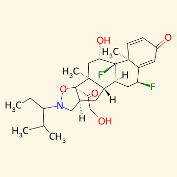 CCC(C(C)C)N1C[C@@H]2C[C@H]3[C@@H]4C[C@H](F)C5=CC(=O)C=C[C@]5(C)[C@@]4(F)[C@@H](O)C[C@]3(C)[C@]2(C(=O)CO)O1